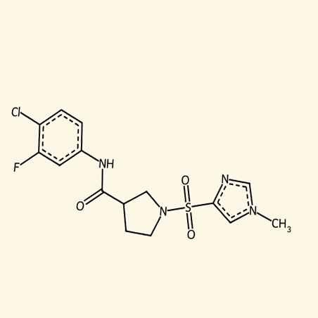 Cn1cnc(S(=O)(=O)N2CCC(C(=O)Nc3ccc(Cl)c(F)c3)C2)c1